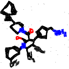 CC(=O)C1=C(C)N(c2cccc(C(F)(F)F)c2)C(=O)C(C(=O)N2CCC(Cc3ccccc3)CC2)C1c1ccc(CN)cc1